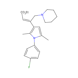 CCOC(=O)/C=C(\CN1CCCCC1)c1cc(C)n(-c2ccc(F)cc2)c1C